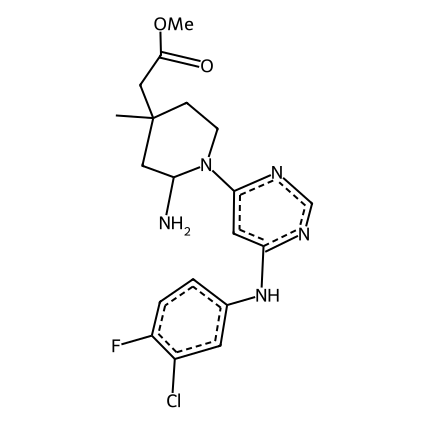 COC(=O)CC1(C)CCN(c2cc(Nc3ccc(F)c(Cl)c3)ncn2)C(N)C1